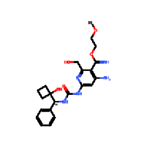 CCOCCOC(=N)c1c(N)cc(NC(=O)N[C@@H](c2ccccc2)C2(O)CCC2)nc1CO